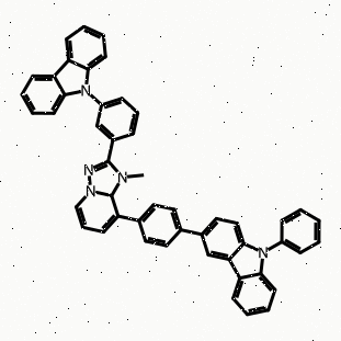 CN1C(c2cccc(-n3c4ccccc4c4ccccc43)c2)=NN2C=CC=C(c3ccc(-c4ccc5c(c4)c4ccccc4n5-c4ccccc4)cc3)C21